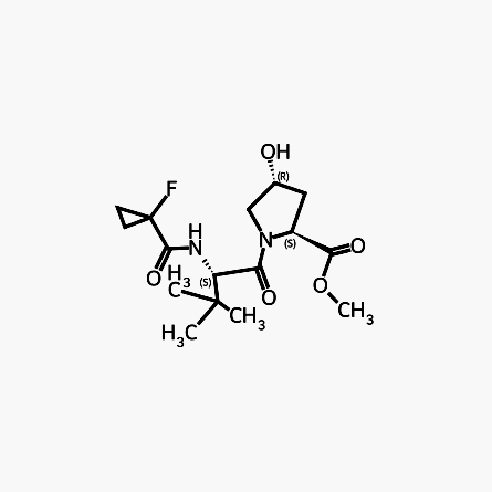 COC(=O)[C@@H]1C[C@@H](O)CN1C(=O)[C@@H](NC(=O)C1(F)CC1)C(C)(C)C